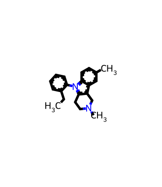 CCc1ccccc1-n1c2c(c3cc(C)ccc31)CN(C)CC2